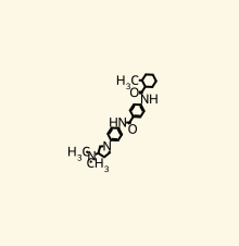 CC1CCCCC1C(=O)Nc1ccc(C(=O)Nc2ccc(N3CCC(N(C)C)C3)cc2)cc1